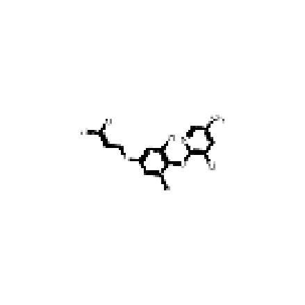 FC(F)(F)c1cnc(Oc2c(Cl)cc(OCC=C(Cl)Cl)cc2Br)c(Cl)c1